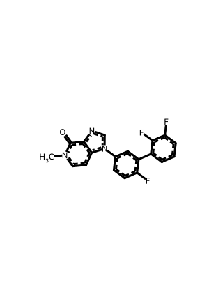 Cn1ccc2c(ncn2-c2ccc(F)c(-c3cccc(F)c3F)c2)c1=O